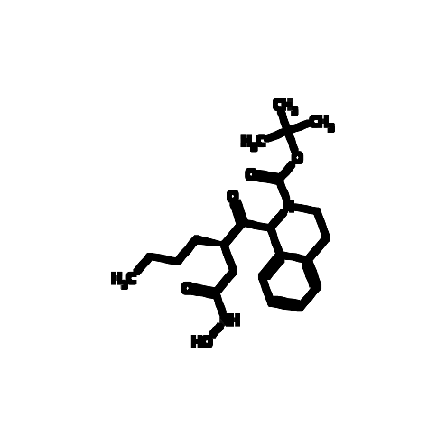 CCCC[C@H](CC(=O)NO)C(=O)C1c2ccccc2CCN1C(=O)OC(C)(C)C